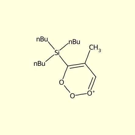 CCCC[Si](CCCC)(CCCC)C1=C(C)C=[O+]OO1